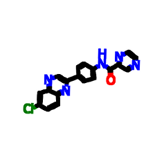 O=C(Nc1ccc(-c2cnc3cc(Cl)ccc3n2)cc1)c1cnccn1